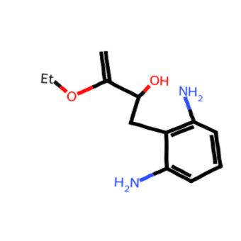 C=C(OCC)C(O)Cc1c(N)cccc1N